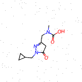 CN(CC1=NN(CC2CC2)C(=O)C1)C(=O)O